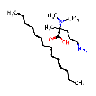 CCCCCCCCCCCCCC.CN(C)C(C)(CCCN)C(=O)O